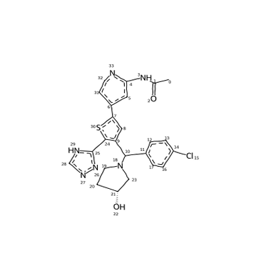 CC(=O)Nc1cc(-c2cc(C(c3ccc(Cl)cc3)N3CC[C@@H](O)C3)c(-c3nnc[nH]3)s2)ccn1